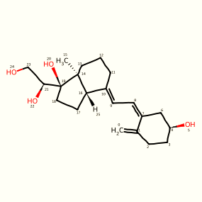 C=C1CC[C@H](O)C/C1=C/C=C1\CCC[C@@]2(C)[C@H]1CC[C@]2(O)[C@@H](O)CO